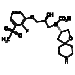 CS(=O)(=O)c1cccc(OC[C@@H](O)CN(C(=O)O)[C@@H]2COC3(CCNCC3)C2)c1F